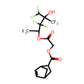 O=C(COC(=O)C1CC2C=CC1C2)OC(C(F)(F)F)C(F)(F)C(O)(C(F)F)C(F)(F)F